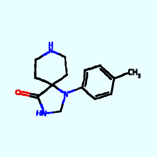 Cc1ccc(N2CNC(=O)C23CCNCC3)cc1